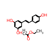 CCOC(C)=O.Oc1ccc(C=Cc2cc(O)cc(O)c2)cc1